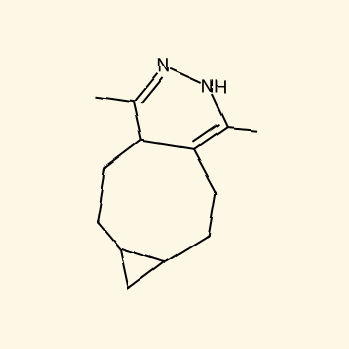 CC1=NNC(C)=C2CCC3CC3CCC12